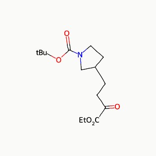 CCOC(=O)C(=O)CCC1CCN(C(=O)OC(C)(C)C)C1